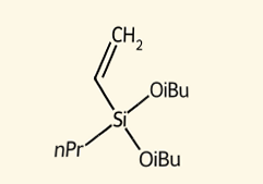 C=C[Si](CCC)(OCC(C)C)OCC(C)C